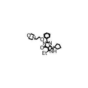 CCc1[nH]n(C2CCCC2)c2nc(-c3ccccc3OCCN3CCOCC3)nc(=O)c1-2